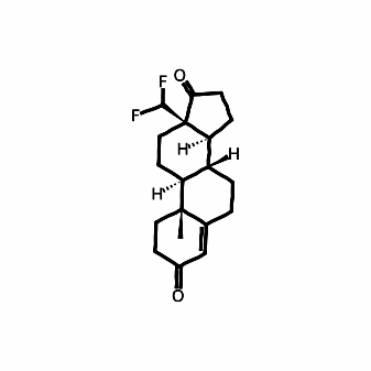 C[C@]12CCC(=O)C=C1CC[C@@H]1[C@@H]2CC[C@]2(C(F)F)C(=O)CC[C@@H]12